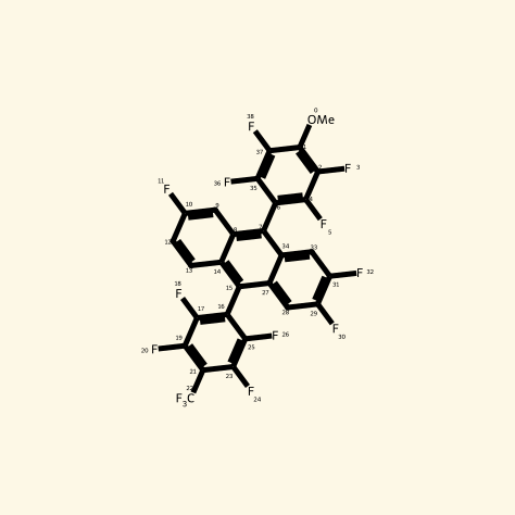 COc1c(F)c(F)c(-c2c3cc(F)ccc3c(-c3c(F)c(F)c(C(F)(F)F)c(F)c3F)c3cc(F)c(F)cc23)c(F)c1F